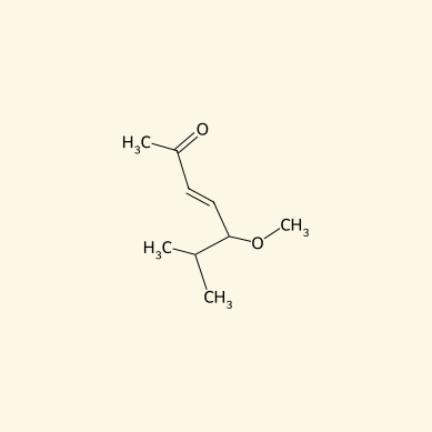 COC(C=CC(C)=O)C(C)C